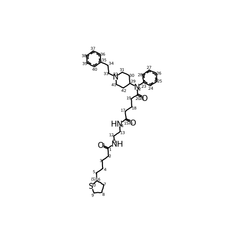 O=C(CCCC[C@H]1CCCS1)NCCNC(=O)CCCC(=O)N(c1ccccc1)C1CCN(CCc2ccccc2)CC1